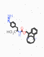 N=[N+]=Nc1ccc(CC(NC(=O)OCC2/C3=C/C=CC/C=C(\C3)c3ccccc32)C(=O)O)cc1